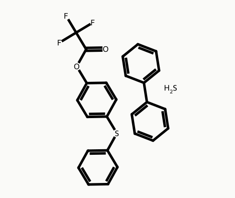 O=C(Oc1ccc(Sc2ccccc2)cc1)C(F)(F)F.S.c1ccc(-c2ccccc2)cc1